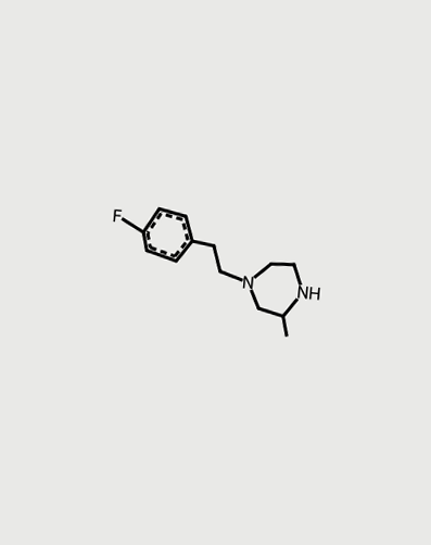 CC1CN(CCc2ccc(F)cc2)CCN1